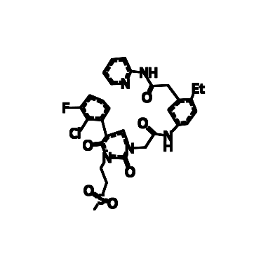 CCc1ccc(NC(=O)Cn2cc(-c3cccc(F)c3Cl)c(=O)n(CCS(C)(=O)=O)c2=O)cc1CC(=O)Nc1ccccn1